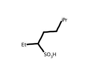 [CH2]C(C)CCC(CC)S(=O)(=O)O